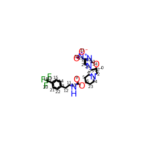 C[C@]1(CN2CCC(OC(=O)NCCc3ccc(C(F)(F)F)cc3)CC2)Cn2cc([N+](=O)[O-])nc2O1